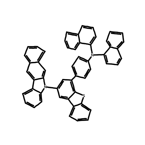 c1ccc2cc3c(cc2c1)c1ccccc1n3-c1cc(-c2ccc(N(c3cccc4ccccc34)c3cccc4ccccc34)cc2)c2sc3ccccc3c2c1